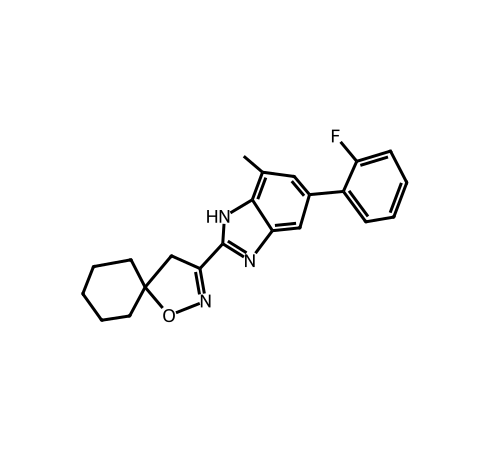 Cc1cc(-c2ccccc2F)cc2nc(C3=NOC4(CCCCC4)C3)[nH]c12